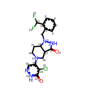 O=C1NN(Cc2ccccc2C(F)F)C2CCN(c3cn[nH]c(=O)c3Cl)CC12